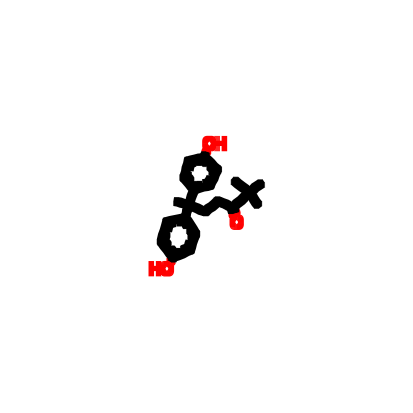 CC(C)(C)C(=O)CCC(C)(c1ccc(O)cc1)c1ccc(O)cc1